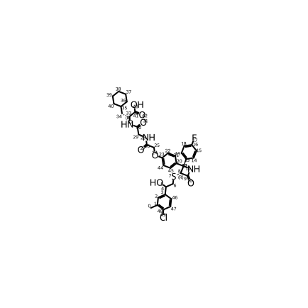 Cc1cc(C(O)CS[C@H]2C(=O)N[C@@]2(c2ccc(F)cc2)c2ccc(OCC(=O)NCC(=O)N[C@H](CC3CCCCC3)C(=O)O)cc2)ccc1Cl